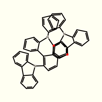 c1ccc(N(c2ccccc2-c2c(-n3c4ccccc4c4ccccc43)ccc3ccccc23)c2cccc3c4ccccc4n(-c4ccccc4)c23)cc1